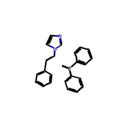 CB(c1ccccc1)c1ccccc1.c1ccc(CCn2ccnc2)cc1